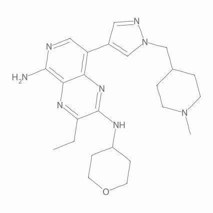 CCc1nc2c(N)ncc(-c3cnn(CC4CCN(C)CC4)c3)c2nc1NC1CCOCC1